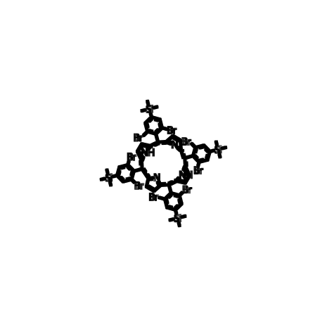 C[Si](C)(C)c1cc(Br)c(-c2c3nc(c(-c4c(Br)cc([Si](C)(C)C)cc4Br)c4ccc([nH]4)c(-c4c(Br)cc([Si](C)(C)C)cc4Br)c4nc(c(-c5c(Br)cc([Si](C)(C)C)cc5Br)c5ccc2[nH]5)C=C4)C=C3)c(Br)c1